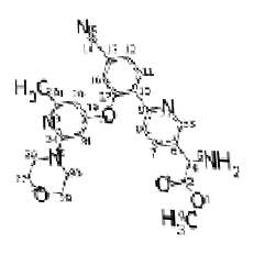 COC(=O)C(N)c1ccc(-c2ccc(C#N)cc2Oc2cc(C)nc(N3CCOCC3)c2)nc1